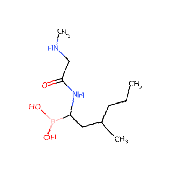 CCCC(C)CC(NC(=O)CNC)B(O)O